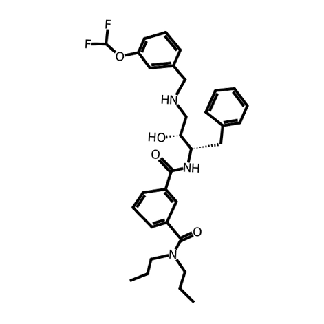 CCCN(CCC)C(=O)c1cccc(C(=O)N[C@@H](Cc2ccccc2)[C@H](O)CNCc2cccc(OC(F)F)c2)c1